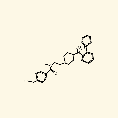 CN(CCN1CCC(N(C(=O)O)c2ccccc2-c2ccccc2)CC1)C(=O)c1ccc(CCl)cc1